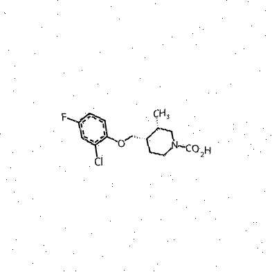 C[C@@H]1CN(C(=O)O)CC[C@@H]1COc1ccc(F)cc1Cl